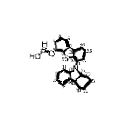 OBOc1cccc2c1sc1c(-n3c4ccccc4c4ccccc43)cccc12